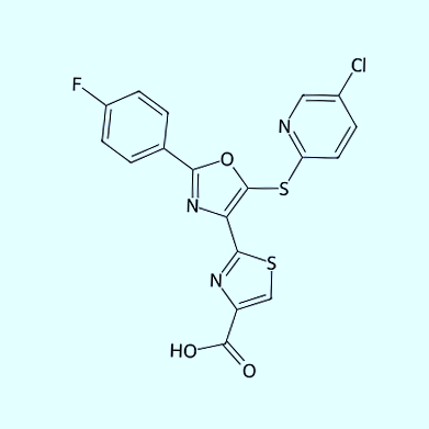 O=C(O)c1csc(-c2nc(-c3ccc(F)cc3)oc2Sc2ccc(Cl)cn2)n1